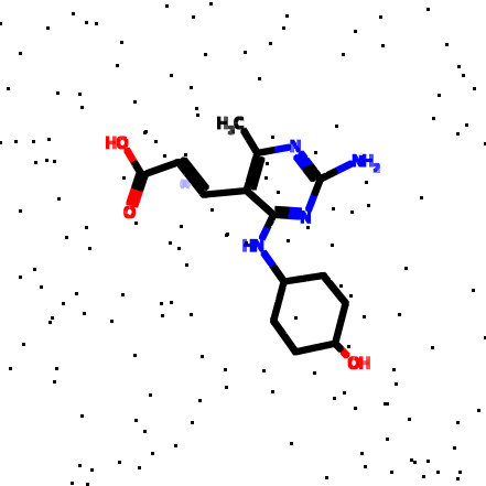 Cc1nc(N)nc(NC2CCC(O)CC2)c1/C=C/C(=O)O